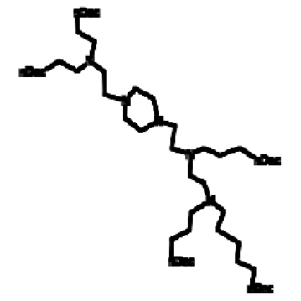 CCCCCCCCCCCCCCCN(CCCCCCCCCCCCC)CCN(CCCCCCCCCCCCC)CCN1CCN(CCN(CCCCCCCCCCCC)CCCCCCCCCCCC)CC1